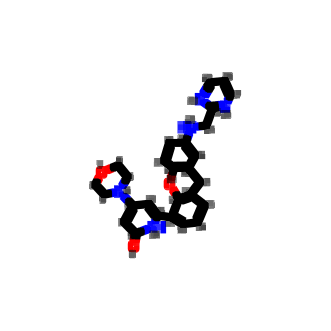 O=c1cc(N2CCOCC2)cc(-c2cccc3c2Oc2ccc(NCc4ncccn4)cc2C3)[nH]1